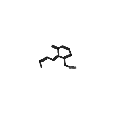 C=c1cccc(COC)/c1=C/C=C\C